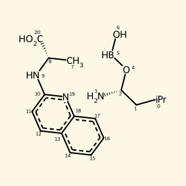 CC(C)C[C@H](N)OBO.C[C@H](Nc1ccc2ccccc2n1)C(=O)O